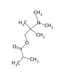 CC(C)C(=O)OCC(C)(C)N(C)C